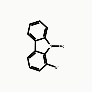 CC(=O)n1c2ccccc2c2cccc(Br)c21